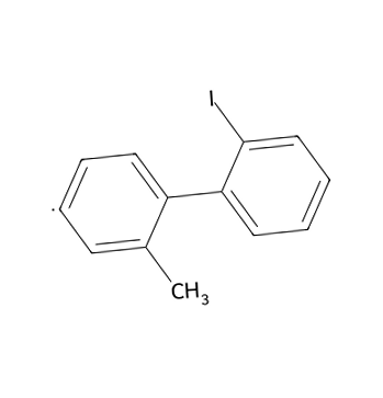 Cc1c[c]ccc1-c1ccccc1I